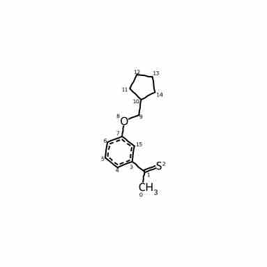 CC(=S)c1cccc(OCC2CCCC2)c1